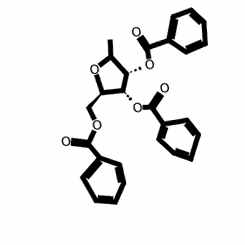 CC1O[C@H](COC(=O)c2ccccc2)[C@@H](OC(=O)c2ccccc2)[C@H]1OC(=O)c1ccccc1